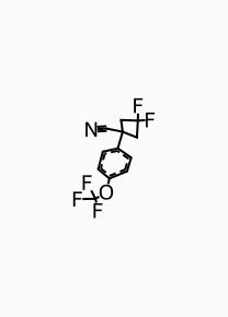 N#CC1(c2ccc(OC(F)(F)F)cc2)CC(F)(F)C1